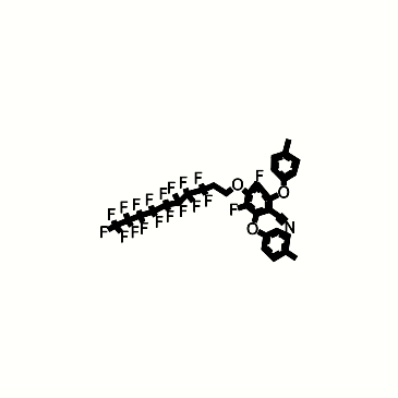 Cc1ccc(Oc2c(F)c(OCCC(F)(F)C(F)(F)C(F)(F)C(F)(F)C(F)(F)C(F)(F)C(F)(F)C(F)(F)F)c(F)c(Oc3ccc(C)cc3)c2C#N)cc1